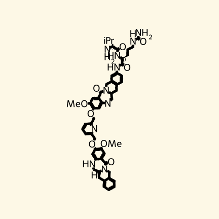 COc1cc2c(cc1OCc1cccc(COc3cc4c(cc3OC)C(=O)N3Cc5ccccc5C[C@H]3CN4)n1)N=CC1Cc3ccc(NC(=O)[C@H](CCCNC(N)=O)NC(=O)[C@@H](N)C(C)C)cc3CN1C2=O